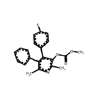 COC(=O)Oc1c(C)nc(C)c(-c2ccccc2)c1-c1ccc(F)cc1